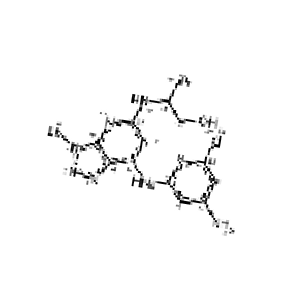 CCn1nnc2c(Nc3cc(N)cc(Cl)c3)nc(NC(CO)C(C)C)nc21